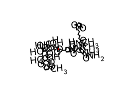 COc1cccc2c1C(=O)c1c(O)c3c(c(O)c1C2=O)C[C@@](O)(C(=O)CO)C[C@@H]3O[C@H]1C[C@H](NC(=O)OCc2ccc(NC(=O)[C@H](CCCNC(N)=O)NC(=O)[C@@H](NC(=O)CCCCCN3C(=O)C=CC3=O)C(C)C)cc2)[C@H](O)[C@H](C)O1